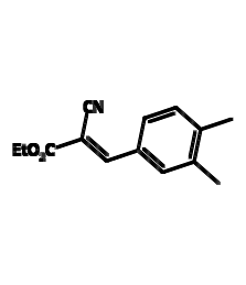 CCOC(=O)C(C#N)=Cc1ccc(C)c(C)c1